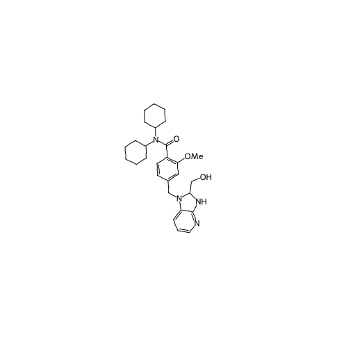 COc1cc(CN2c3cccnc3NC2CO)ccc1C(=O)N(C1CCCCC1)C1CCCCC1